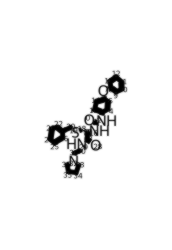 O=C(Nc1ccc(Oc2ccccc2)cc1)N[C@@H](CSCc1ccccc1)C(=O)NCCN1CCCC1